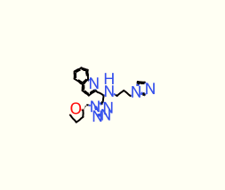 c1ccc2nc(C(NCCCn3ccnc3)c3nnnn3C[C@@H]3CCCO3)ccc2c1